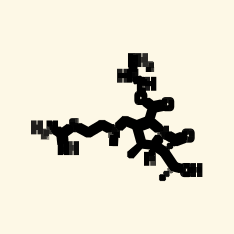 BNPOC(=O)C1=C(CN(C)CCSC(=N)N)[C@H](C)[C@@H]2[C@@H]([C@@H](C)O)C(=O)N12